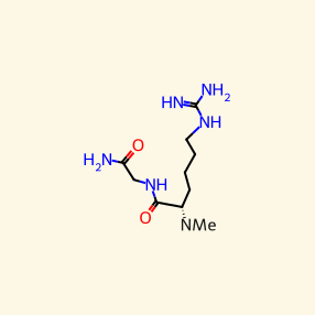 CN[C@@H](CCCCNC(=N)N)C(=O)NCC(N)=O